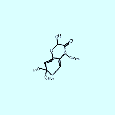 CON1C(=O)C(O)OC2=CC(O)(OC)CC=C21